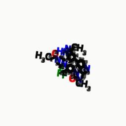 CCC(=O)N1CCN(c2ccc(N3C(=O)N(C)Cc4cnc5ccc(-c6ccc7[nH]nc(C)c7c6)cc5c43)cc2C(F)(F)F)CC1